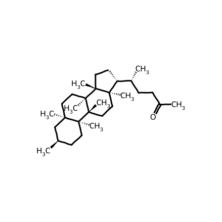 CC(=O)CC[C@@H](C)[C@H]1CC[C@@]2(C)[C@]3(C)CC[C@]4(C)C[C@H](C)CC[C@]4(C)[C@@]3(C)CC[C@]12C